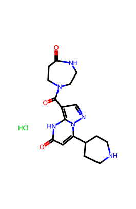 Cl.O=C1CCN(C(=O)c2cnn3c(C4CCNCC4)cc(=O)[nH]c23)CCN1